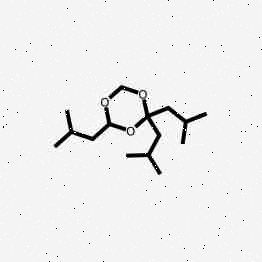 CC(C)CC1OCOC(CC(C)C)(CC(C)C)O1